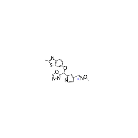 CO/N=C/c1ccnc(C(Oc2ccc3nc(C)sc3c2)c2nnco2)c1